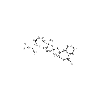 CC(C)(CC(O)(Cn1ccc(=O)c2ccccc21)C(F)(F)F)c1cccc(C(O)C2CC2)c1